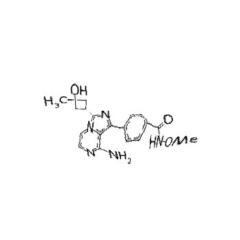 CONC(=O)c1ccc(-c2nc([C@H]3C[C@@](C)(O)C3)n3ccnc(N)c23)cc1